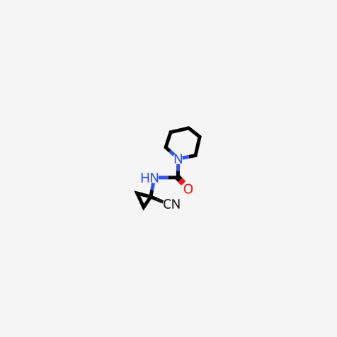 N#CC1(NC(=O)N2CCCCC2)CC1